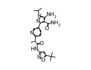 CC(C(=O)Nc1cc(C(C)(C)C)on1)c1ccc(-c2nn(C(C)C)c(N)c2C(N)=O)cn1